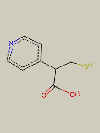 O=C(O)C(CS)c1ccncc1